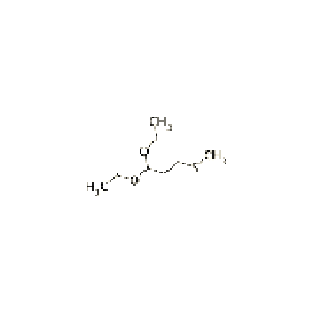 CCOC(CCSC)OCC